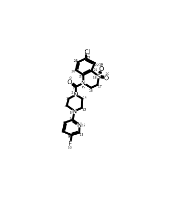 O=C(N1CCN(c2ccc(F)cn2)CC1)N1CCS(=O)(=O)c2cc(Cl)ccc21